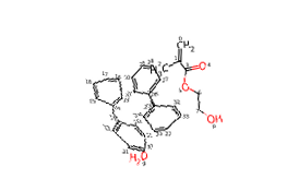 C=C(C)C(=O)OCCO.O.c1ccc(-c2ccccc2)cc1.c1ccc(-c2ccccc2)cc1